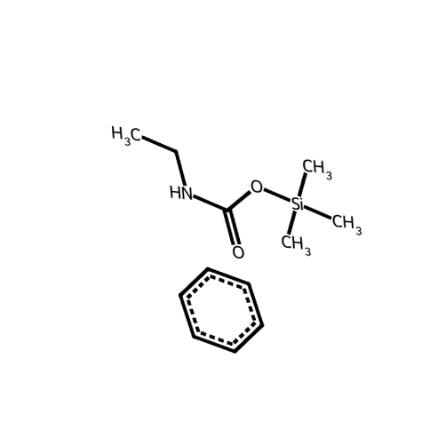 CCNC(=O)O[Si](C)(C)C.c1ccccc1